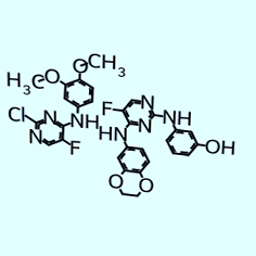 COc1ccc(Nc2nc(Cl)ncc2F)cc1OC.Oc1cccc(Nc2ncc(F)c(Nc3ccc4c(c3)OCCO4)n2)c1